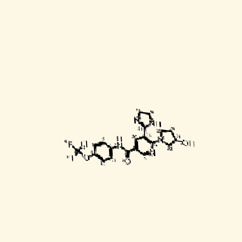 O=C(Nc1ccc(OC(F)(F)Cl)cc1)c1cnc(N2CC[C@@H](O)C2)c(C2=NCCN2)c1